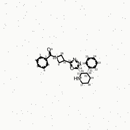 O=C(c1ccccc1)N1CC(c2nnc([C@H]3NCCC[C@H]3c3ccccc3)o2)C1